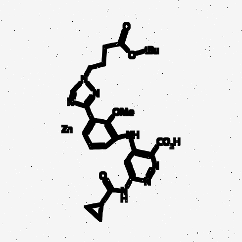 COc1c(Nc2cc(NC(=O)C3CC3)nnc2C(=O)O)cccc1-c1ncn(CCCC(=O)OC(C)(C)C)n1.[Zn]